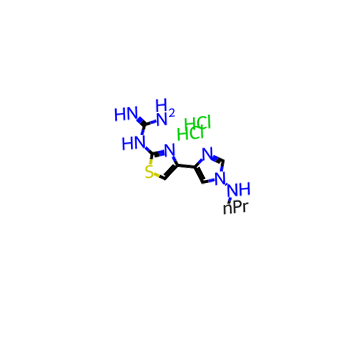 CCCNn1cnc(-c2csc(NC(=N)N)n2)c1.Cl.Cl